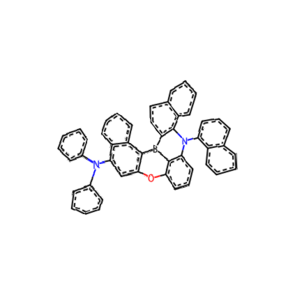 c1ccc(N(c2ccccc2)c2cc3c(c4ccccc24)B2c4ccc5ccccc5c4N(c4cccc5ccccc45)c4cccc(c42)O3)cc1